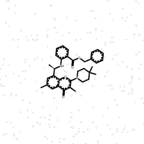 Cc1cc([C@@H](C)Nc2ccccc2C(=O)OCc2ccccc2)c2oc(N3CCC(C)(C)CC3)c(I)c(=O)c2c1